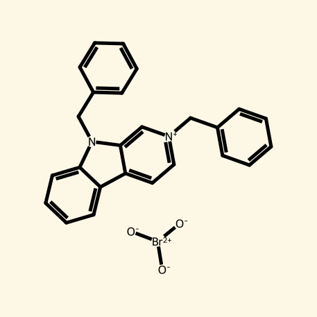 [O-][Br+2]([O-])[O-].c1ccc(Cn2c3ccccc3c3cc[n+](Cc4ccccc4)cc32)cc1